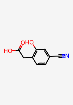 N#Cc1ccc(CC(=O)O)c(O)c1